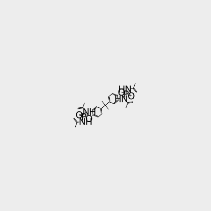 C=C(C)NP(=O)(NC(=C)C)Oc1ccc(C(C)(C)c2ccc(OP(=O)(NC(=C)C)NC(=C)C)cc2)cc1